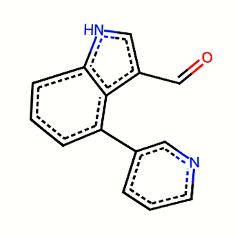 O=Cc1c[nH]c2cccc(-c3cccnc3)c12